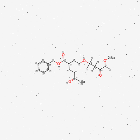 CC(OC(C)(C)C)C(=O)C(C)(C)C(C)(C)OCCC(CCC(=O)C(C)(C)C)C(=O)OCc1ccccc1